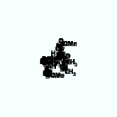 COC(=O)c1coc(-c2cc(C(=O)N[C@@H](Cc3ccccc3)[C@@H](O)CNCc3cccc(OC)c3)cc(C(=O)N(C)Cc3nc(C)cs3)c2)n1